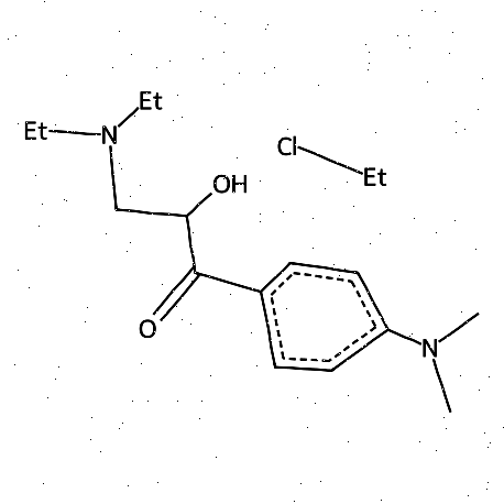 CCCl.CCN(CC)CC(O)C(=O)c1ccc(N(C)C)cc1